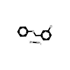 CC(C)N.Clc1cccc(COc2ccccc2)c1